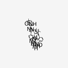 [2H]C([2H])([2H])N1C(=O)c2cccc(C#C[Si](C(C)C)(C(C)C)C(C)C)c2[C@H]2C[C@@H]1c1nc3ccc(-c4cnc(C(C)(CC)N[S+]([O-])C(C)(C)C)nc4)cc3n12